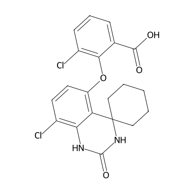 O=C1Nc2c(Cl)ccc(Oc3c(Cl)cccc3C(=O)O)c2C2(CCCCC2)N1